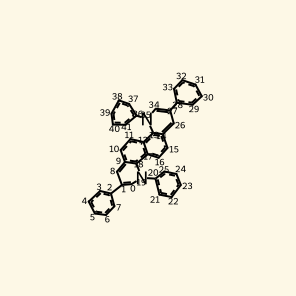 C1=C(c2ccccc2)C=c2ccc3c4c(ccc3c2N1c1ccccc1)=CC(c1ccccc1)=CN4c1ccccc1